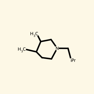 CC(C)CN1CCC(C)C(C)C1